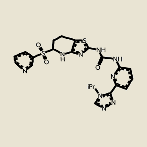 CC(C)n1cnnc1-c1cccc(NC(=O)Nc2nc3c(s2)CCC(S(=O)(=O)c2cccnc2)N3)n1